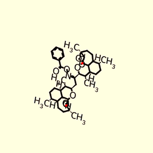 C[C@H]1[C@@H](/C(C[C@H]2O[C@@H]3C[C@]4(C)CC[C@H]5[C@H](C)CC[C@@H]([C@H]2C)[C@@]35OO4)=N\OC(=O)c2ccccc2)O[C@@H]2C[C@]3(C)CC[C@H]4[C@H](C)CC[C@@H]1[C@@]24OO3